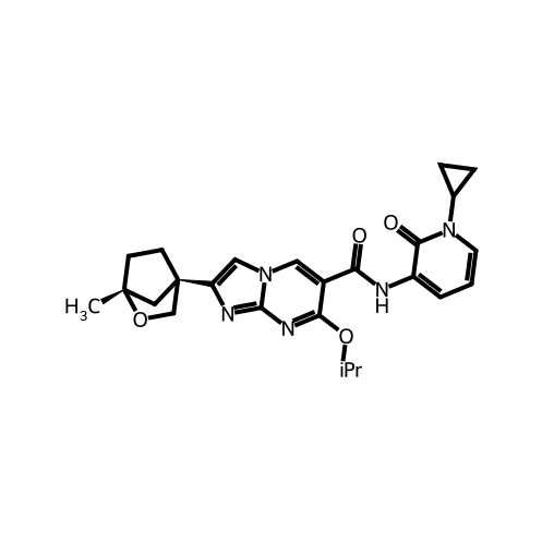 CC(C)Oc1nc2nc([C@]34CC[C@](C)(C3)OC4)cn2cc1C(=O)Nc1cccn(C2CC2)c1=O